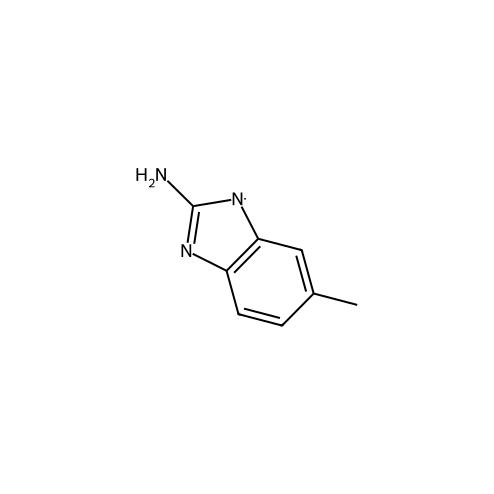 Cc1ccc2c(c1)[N]C(N)=N2